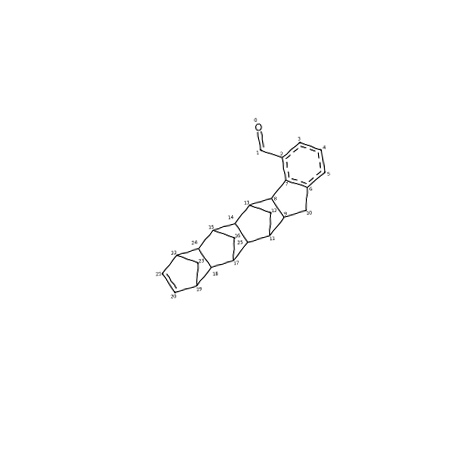 O=Cc1cccc2c1C1C(C2)C2CC1C1C3CC(C4C5C=CC(C5)C34)C21